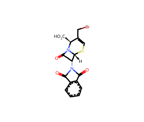 O=C(O)[C@H]1C(CBr)=CS[C@@H]2[C@H](N3C(=O)c4ccccc4C3=O)C(=O)N12